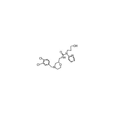 O=C(NCC1CN(Cc2ccc(Cl)c(Cl)c2)CCO1)N(CCCO)c1ccccn1